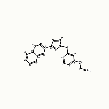 CCOc1cccc(Cn2cc(C3=COC4N=CC=CC4=C3)cn2)c1